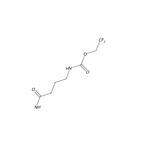 [NH]C(=O)CCCNC(=O)OCC(F)(F)F